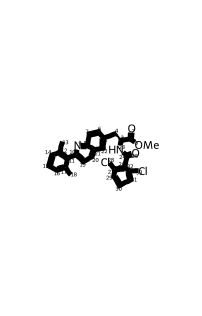 COC(=O)[C@H](Cc1ccc2nc(-c3c(C)cccc3C)ccc2c1)NC(=O)c1c(Cl)cccc1Cl